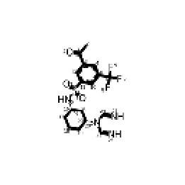 CC(=O)c1cc(C(F)(F)F)cc(S(=O)(=O)N[C@H]2CCC[C@@H](N(C=N)C=N)C2)c1